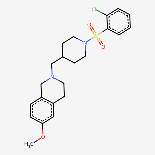 COc1ccc2c(c1)CCN(CC1CCN(S(=O)(=O)c3ccccc3Cl)CC1)C2